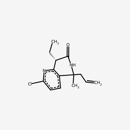 C=CCC1(C)NC(=O)[C@@H](CC)c2nc(Cl)ccc21